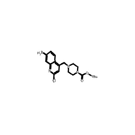 Bc1ccc2c(CN3CCN(C(=O)OC(C)(C)C)CC3)cc(Cl)nc2c1